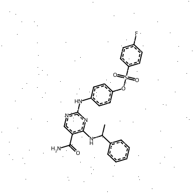 CC(Nc1nc(Nc2ccc(OS(=O)(=O)c3ccc(F)cc3)cc2)ncc1C(N)=O)c1ccccc1